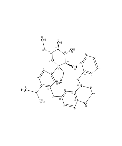 COC1(c2ccc(C(C)C)c(Cc3ccc4c(c3)N(Cc3ccccc3)CCO4)c2)O[C@H](CO)[C@@H](O)[C@H](O)[C@H]1O